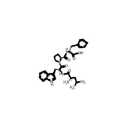 CC(C)C[C@H](N)C(=O)N[C@@H](Cc1c[nH]c2ccccc12)C(=O)N1CCC[C@H]1C(=O)N[C@@H](Cc1ccccc1)C(=O)O